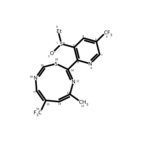 CC[S+]([O-])c1cc(C(F)(F)F)cnc1-c1nc(C)cc(C(F)(F)F)cncs1